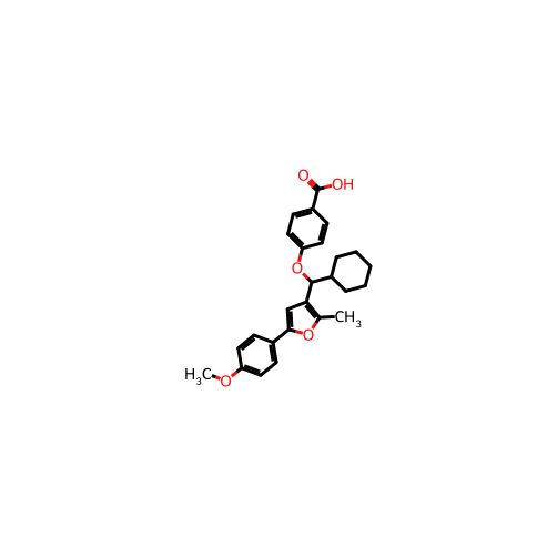 COc1ccc(-c2cc(C(Oc3ccc(C(=O)O)cc3)C3CCCCC3)c(C)o2)cc1